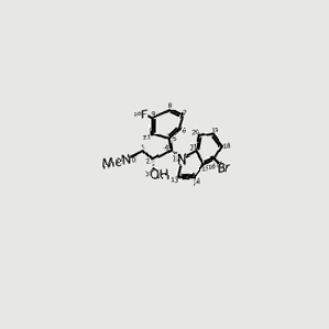 CNC[C@@H](O)[C@H](c1cccc(F)c1)n1ccc2c(Br)cccc21